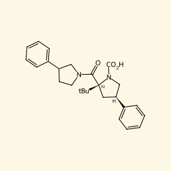 CC(C)(C)[C@]1(C(=O)N2CCC(c3ccccc3)C2)C[C@H](c2ccccc2)CN1C(=O)O